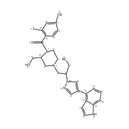 N#CCC(CN1CCN(C(=O)c2ccc(C#N)cc2F)C(CO)C1)n1cc(-c2ncnc3[nH]ccc23)cn1